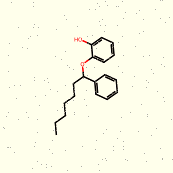 CCCCCCC(Oc1ccccc1O)c1ccccc1